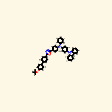 CC(C)(C)Oc1ccc(-c2ccc(-c3nnc(-c4ccc(N(c5ccccc5)c5ccc(-n6c7ccccc7c7ccccc76)cc5)cc4)o3)cc2)cc1